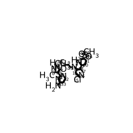 Cc1nn(C)c(O[C@H](C)CCNc2cc(Cl)ncc2-c2ccc(S(C)(=O)=O)cn2)c1-c1nccc(N)n1